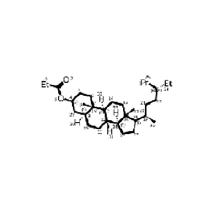 CCC(=O)O[C@H]1CC[C@@]2(C)[C@@H](CC[C@@H]3[C@@H]2CC[C@]2(C)[C@@H]([C@H](C)CC[C@@H](CC)C(C)C)CC[C@@H]32)C1